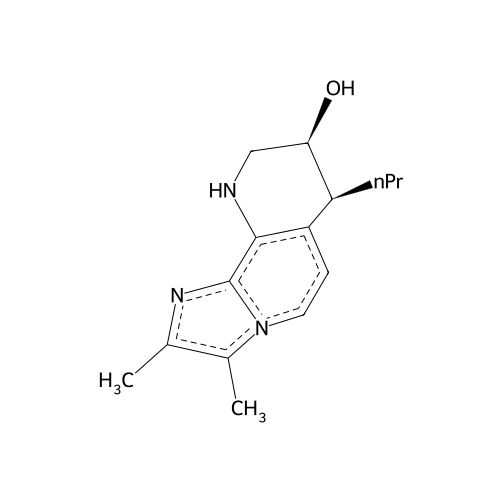 CCC[C@H]1c2ccn3c(C)c(C)nc3c2NC[C@H]1O